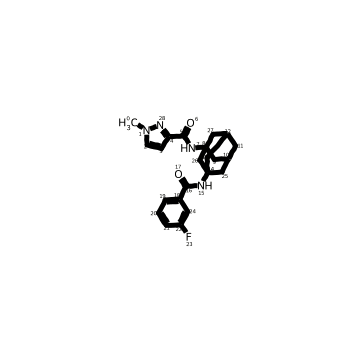 Cn1ccc(C(=O)NC23CC4CC(CC(NC(=O)c5cccc(F)c5)(C4)C2)C3)n1